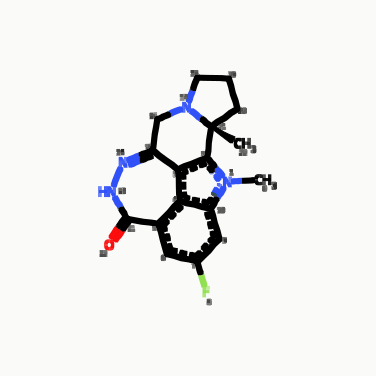 Cn1c2c3c4c(cc(F)cc41)C(=O)NN=C3CN1CCC[C@]21C